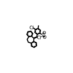 Cc1cc(S(=O)(=O)Cl)c(C=C2c3ccccc3CCc3ccccc32)cc1Cl